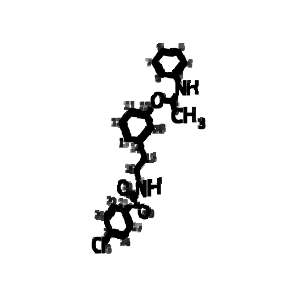 CC(Nc1ccccc1)Oc1cccc(CCNS(=O)(=O)c2ccc(Cl)cc2)c1